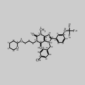 Cn1c(=O)n(CCCOC2CCCCO2)c(=O)c2c1nc(-c1cccc(OC(F)(F)F)c1)n2Cc1ccc(Cl)cc1